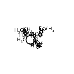 CCOc1cc2ccnc(O[C@@H]3C[C@H]4C(=O)N[C@]5(C(=O)NS(=O)(=O)C6(CF)CC6)C[C@H]5/C=C\CC[C@@H](C)C[C@@H](C)[C@H](NC(=O)OC(C)(C)C(C)(F)F)C(=O)N4C3)c2cc1F